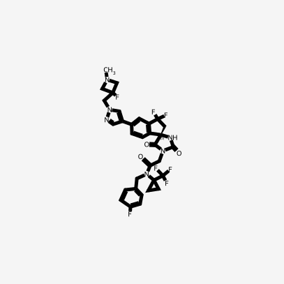 CN1CC(F)(Cn2cc(-c3ccc4c(c3)C(F)(F)C[C@]43NC(=O)N(CC(=O)N(Cc4ccc(F)cc4)C4(C(F)(F)F)CC4)C3=O)cn2)C1